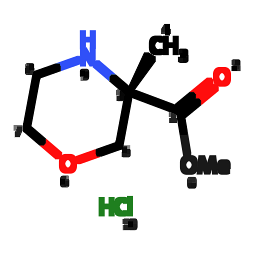 COC(=O)[C@]1(C)COCCN1.Cl